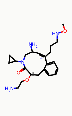 CONCCC/C1=C/C(N)CN(C2CC2)C(=O)[C@H](OCCN)Cc2ccccc21